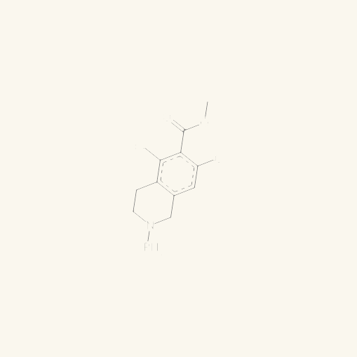 COC(=O)c1c(Cl)cc2c(c1Cl)CCN(P)C2